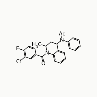 CC(=O)N(c1ccccc1)C1CC(C)N(C(=O)c2ccc(F)c(Cl)c2)c2ccccc21